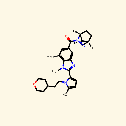 COc1cc(C(=O)N2C[C@H]3CC[C@@H]2[C@@H]3N)cc2nc(-c3ccc(C#N)n3CCC3CCOCC3)n(C)c12